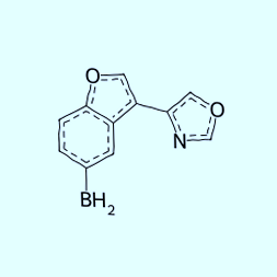 Bc1ccc2occ(-c3cocn3)c2c1